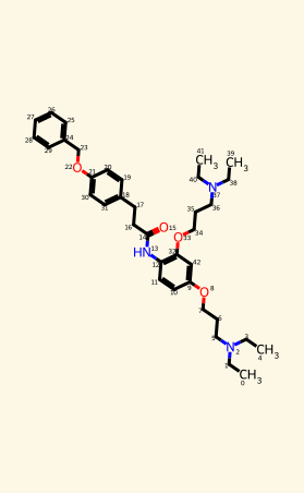 CCN(CC)CCCOc1ccc(NC(=O)CCc2ccc(OCc3ccccc3)cc2)c(OCCCN(CC)CC)c1